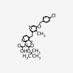 Cc1c(Cc2ccnc(N(C(=O)O)C(=O)OC(C)(C)C)c2F)cncc1OCc1ccc(Cl)cc1